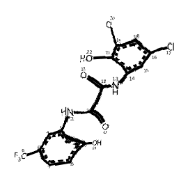 O=C(Nc1cc(C(F)(F)F)ccc1O)C(=O)Nc1cc(Cl)cc(Cl)c1O